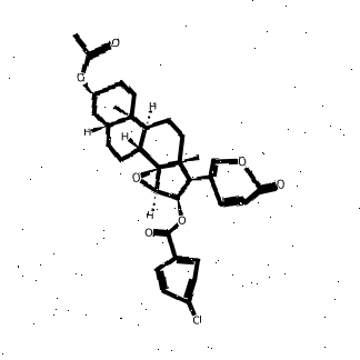 CC(=O)O[C@H]1CC[C@@]2(C)[C@H](CC[C@@H]3[C@@H]2CC[C@]2(C)[C@@H](c4ccc(=O)oc4)[C@@H](OC(=O)c4ccc(Cl)cc4)[C@H]4O[C@]342)C1